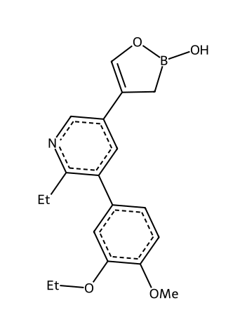 CCOc1cc(-c2cc(C3=COB(O)C3)cnc2CC)ccc1OC